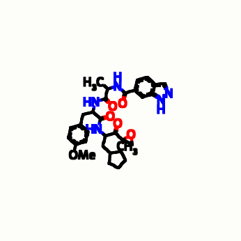 COc1ccc(CC(NC(=O)C(C)NC(=O)c2ccc3cn[nH]c3c2)C(=O)NC(CC2CCCC2)C(=O)C2(C)CO2)cc1